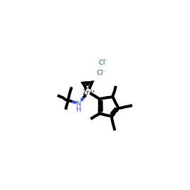 CC1=C(C)C(C)[C]([Zr+2]2([NH]C(C)(C)C)[CH]=[CH]2)=C1C.[Cl-].[Cl-]